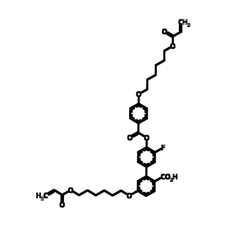 C=CC(=O)OCCCCCCOc1ccc(C(=O)Oc2ccc(-c3cc(OCCCCCCOC(=O)C=C)ccc3C(=O)O)cc2F)cc1